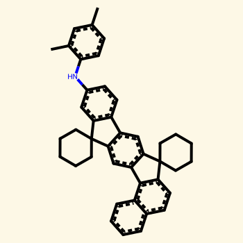 Cc1ccc(Nc2ccc3c(c2)C2(CCCCC2)c2cc4c(cc2-3)C2(CCCCC2)c2ccc3ccccc3c2-4)c(C)c1